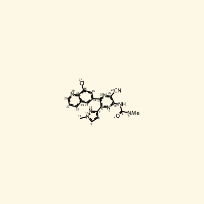 CNC(=O)Nc1nc(-c2ccn(C)n2)c(-c2cc(Cl)c3ncccc3c2)nc1C#N